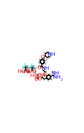 N=C(N)c1ccc(CCOP(=O)(O)O)c(OCCNC(=O)c2ccc(OC3CCNCC3)cc2)c1.O=C(O)C(F)(F)F.O=C(O)C(F)(F)F